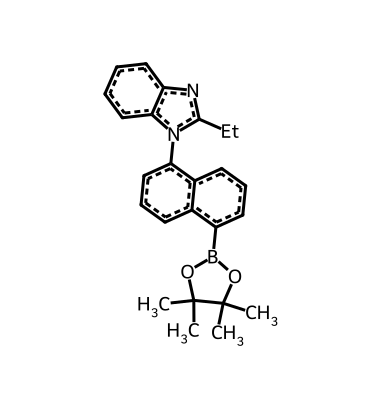 CCc1nc2ccccc2n1-c1cccc2c(B3OC(C)(C)C(C)(C)O3)cccc12